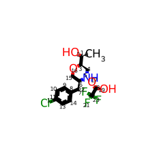 C[C@@H](O)[C@H]1CN[C@@H](Cc2ccc(Cl)cc2)CO1.O=C(O)C(F)(F)F